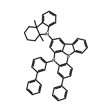 CC12CCCCC1(C)N(c1cc3c4c(c1)N(c1cccc(-c5ccccc5)c1)c1cc(-c5ccccc5)ccc1B4c1ccccc1-3)c1ccccc12